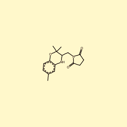 Cc1ccc2c(c1)NC(CN1C(=O)CCC1=O)C(C)(C)O2